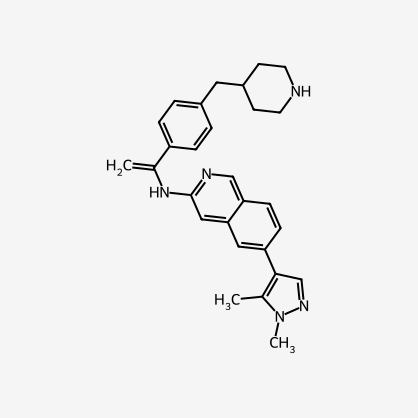 C=C(Nc1cc2cc(-c3cnn(C)c3C)ccc2cn1)c1ccc(CC2CCNCC2)cc1